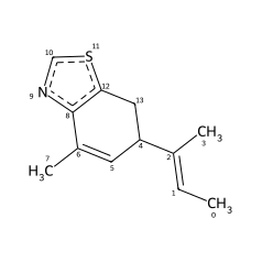 C/C=C(\C)C1C=C(C)c2ncsc2C1